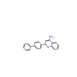 Nc1cc(-c2ccc(-c3ccccc3)cc2)nc2ccccc12